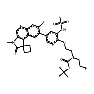 CN1C(=O)C2(CCC2)c2c1cnc1cc(F)c(-c3cnc(OCCN(CCF)C(=O)OC(C)(C)C)c(NS(C)(=O)=O)c3)cc21